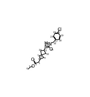 CCOC(=O)CC1CC2(C1)CC(NC(=O)NCc1ccc(Cl)cc1)C2